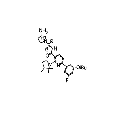 CC(C)COc1cc(F)cc(-c2ccc(C(=O)NS(=O)(=O)N3CC[C@@H](N)C3)c(N3CCC(C)C3(C)C)n2)c1